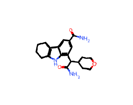 NC(=O)c1cc(C(C(N)=O)C2CCOCC2)c2[nH]c3c(c2c1)CCCC3